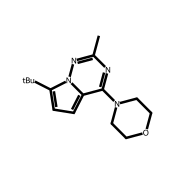 Cc1nc(N2CCOCC2)c2ccc(C(C)(C)C)n2n1